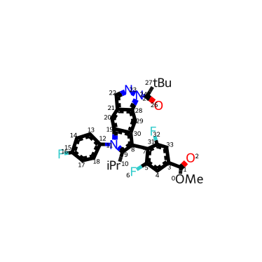 COC(=O)c1cc(F)c(-c2c(C(C)C)n(-c3ccc(F)cc3)c3cc4cnn(C(=O)C(C)(C)C)c4cc23)c(F)c1